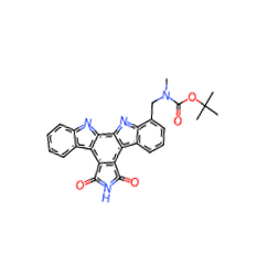 CN(Cc1cccc2c1nc1c3nc4ccccc4c3c3c(=O)[nH]c(=O)c3c21)C(=O)OC(C)(C)C